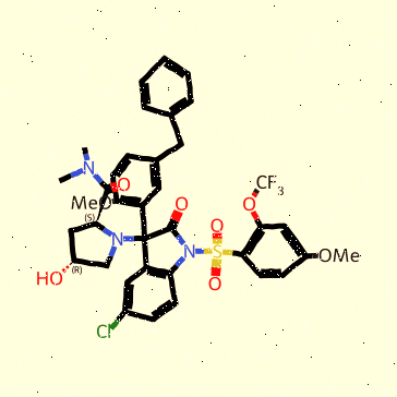 COc1ccc(S(=O)(=O)N2C(=O)C(c3cc(Cc4ccccc4)ccc3OC)(N3C[C@H](O)C[C@H]3C(=O)N(C)C)c3cc(Cl)ccc32)c(OC(F)(F)F)c1